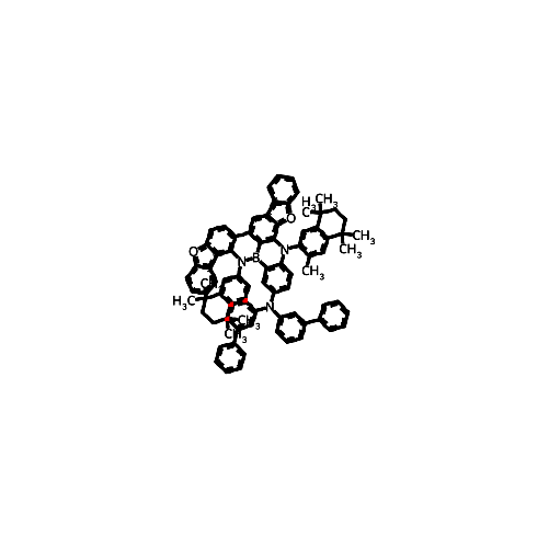 Cc1cc2c(cc1N1c3ccc(N(c4cccc(-c5ccccc5)c4)c4cccc(-c5ccccc5)c4)cc3B3c4c(cc5c(oc6ccccc65)c41)-c1ccc4oc5ccccc5c4c1N3c1ccc3c(c1)C(C)(C)CCC3(C)C)C(C)(C)CCC2(C)C